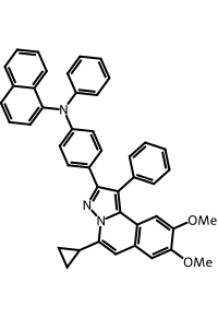 COc1cc2cc(C3CC3)n3nc(-c4ccc(N(c5ccccc5)c5cccc6ccccc56)cc4)c(-c4ccccc4)c3c2cc1OC